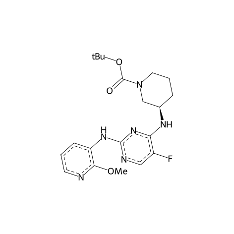 COc1ncccc1Nc1ncc(F)c(N[C@@H]2CCCN(C(=O)OC(C)(C)C)C2)n1